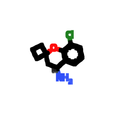 N[C@H]1CC2(CCC2)Oc2c(Cl)cccc21